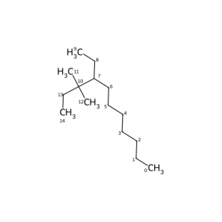 CCCCCCCC(CC)C(C)(C)CC